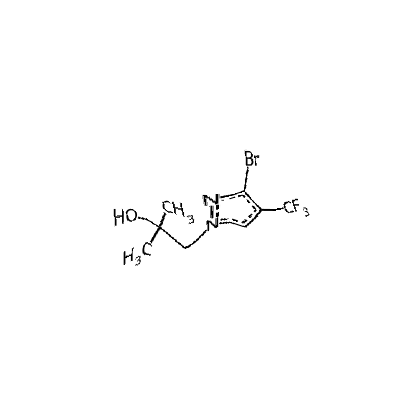 CC(C)(O)Cn1cc(C(F)(F)F)c(Br)n1